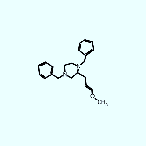 CO/C=C/CC1CN(Cc2ccccc2)CCN1Cc1ccccc1